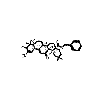 [C-]#[N+]C1=C[C@]2(C)C3=CC(=O)[C@@H]4[C@@H]5CC(C)(C)CC[C@]5(C(=O)OCc5ccccc5)CC[C@@]4(C)[C@]3(C)CC[C@H]2C(C)(C)C1=O